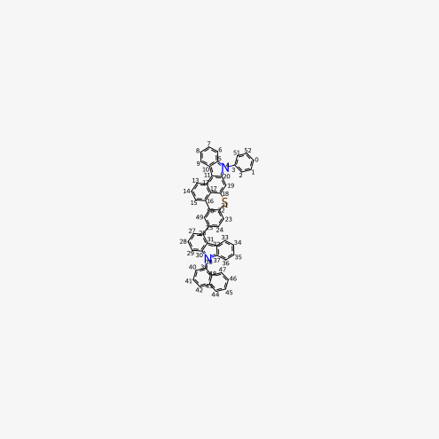 c1ccc(-n2c3ccccc3c3c4cccc5c4c(cc32)Sc2ccc(-c3cccc4c3c3ccccc3n4-c3cccc4ccccc34)cc2-5)cc1